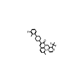 Cc1ccc2cc(C3CCC(c4cccc(F)c4C)CC3)c(=O)n(Cc3nccnc3C(C)(F)F)c2n1